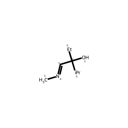 CCC(O)(C=NC)C(C)C